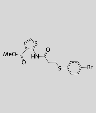 COC(=O)c1ccsc1NC(=O)CCSc1ccc(Br)cc1